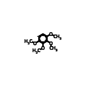 COc1[c]cc(OC)c(OC)c1OC